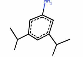 CC(C)c1cc(N)cc(C(C)C)c1